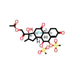 CC(=O)OCC(=O)[C@@]1(O)C(C)C[C@H]2[C@@H]3C(OS(C)(=O)=O)C(OS(C)(=O)=O)C4=CC(=O)CC[C@]4(C)[C@@]3(F)C(=O)C[C@@]21C